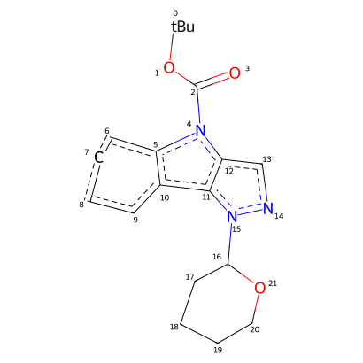 CC(C)(C)OC(=O)n1c2ccccc2c2c1cnn2C1CCCCO1